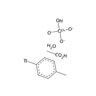 CC(=O)O.Cc1cc[c]([Tl])cc1.O.[O-][Cl+3]([O-])([O-])O